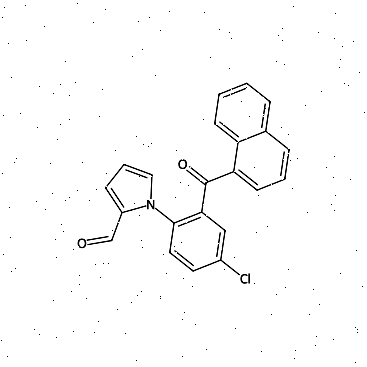 O=Cc1cccn1-c1ccc(Cl)cc1C(=O)c1cccc2ccccc12